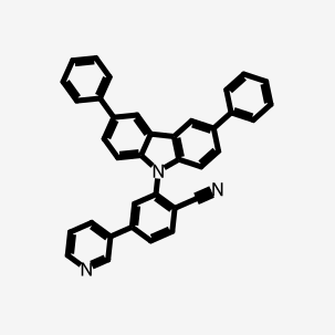 N#Cc1ccc(-c2cccnc2)cc1-n1c2ccc(-c3ccccc3)cc2c2cc(-c3ccccc3)ccc21